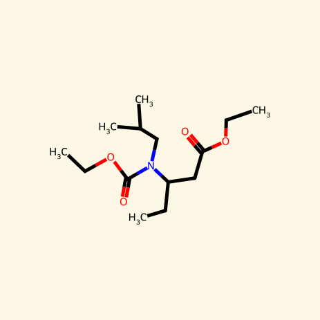 CCOC(=O)CC(CC)N(CC(C)C)C(=O)OCC